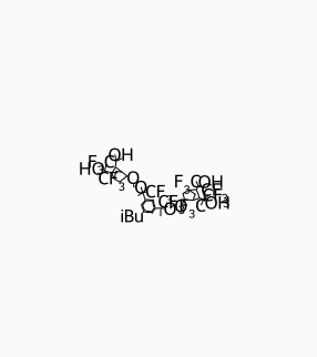 CCC(C)c1cc(C(C)(OCOC2CC3CC2C(C(C)(O)C(F)(F)F)C3C(C)(O)C(F)(F)F)C(F)(F)F)cc(C(C)(OCOC2CC3CC2C(C(O)(C(F)(F)F)C(F)(F)F)C3C(O)(C(F)(F)F)C(F)(F)F)C(F)(F)F)c1